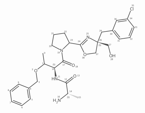 CC(OCc1ccccc1)[C@H](NC(=O)[C@H](C)N)C(=O)N1CCCC1C1=N[C@](CO)(Cc2cccc(Cl)c2)CO1